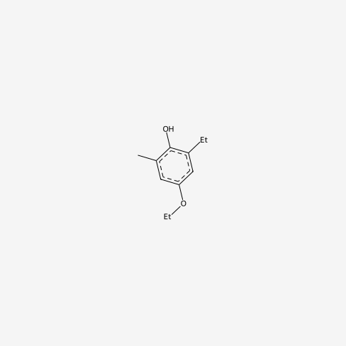 CCOc1cc(C)c(O)c(CC)c1